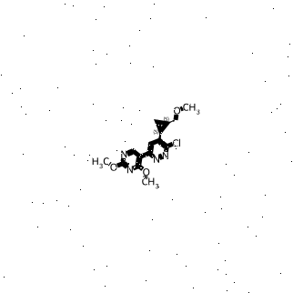 COC[C@H]1C[C@@H]1c1cc(-c2cnc(OC)nc2OC)nnc1Cl